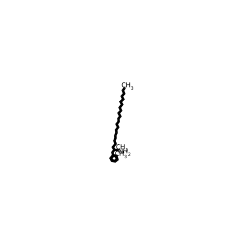 CCCCCCCCCCCCCCCCCCCCCCCC(Cc1ccccc1)C(C)(C)N